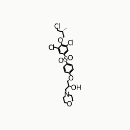 C[C@@H](CCl)COc1c(Cl)cc(S(=O)(=O)c2ccc(OC[C@@H](O)CN3CCOCC3)cc2)cc1Cl